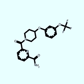 NC(=O)c1cccc(C(=O)N2CCC(Oc3cccc(OC(F)(F)F)c3)CC2)n1